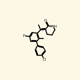 C/C(=C1/CCCNC1=O)c1cc(F)cc(-c2ccc(Cl)cc2)c1C